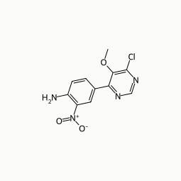 COc1c(Cl)ncnc1-c1ccc(N)c([N+](=O)[O-])c1